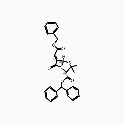 CC1(C)S[C@@H]2/C(=C\C(=O)OCc3ccccc3)C(=O)N2[C@H]1C(=O)OC(c1ccccc1)c1ccccc1